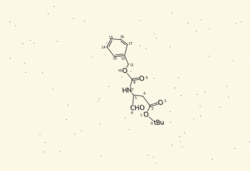 CC(C)(C)OC(=O)CC(C=O)NC(=O)OCc1ccccc1